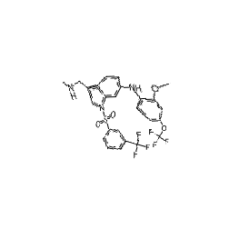 CNCc1cn(S(=O)(=O)c2cccc(C(F)(F)F)c2)c2cc(Nc3ccc(OC(F)(F)F)cc3OC)ccc12